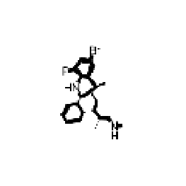 CNC[C@H](C)CC[C@@H]1[C@H](C)c2cc(Br)cc(F)c2N[C@H]1C1C=CC=CC1